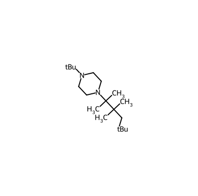 CC(C)(C)CC(C)(C)C(C)(C)N1CCN(C(C)(C)C)CC1